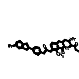 CCCC(CC1CC(=O)c2c(ccc(CC(=O)Cc3ccc(C4=Cc5ccc(C(C)C)cc5C4)cc3)c2C)C1)C(CC)C(=O)CC(C)=O